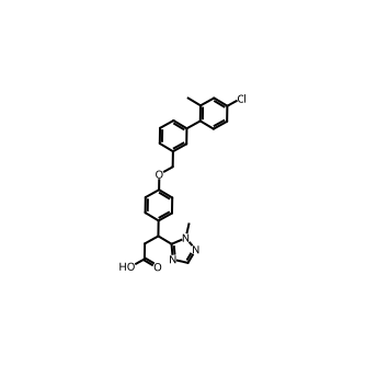 Cc1cc(Cl)ccc1-c1cccc(COc2ccc(C(CC(=O)O)c3ncnn3C)cc2)c1